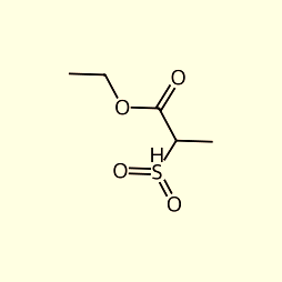 CCOC(=O)C(C)[SH](=O)=O